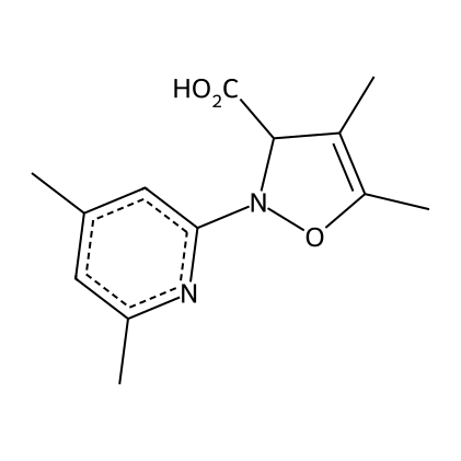 CC1=C(C)C(C(=O)O)N(c2cc(C)cc(C)n2)O1